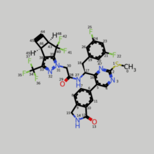 CSc1ncc(-c2ccc3c(c2)C(=O)NC3)c([C@H](Cc2cc(F)cc(F)c2)NC(=O)Cn2nc(C(F)(F)F)c3c2C(F)(F)[C@@H]2C#C[C@H]32)n1